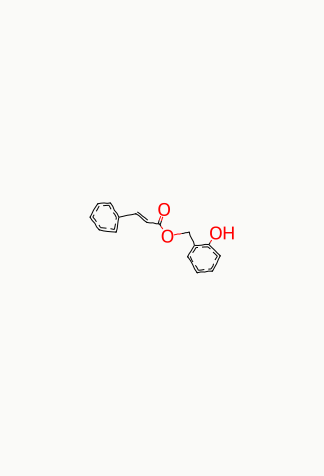 O=C(C=Cc1ccccc1)OCc1ccccc1O